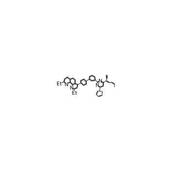 C#C/C(=C\C=C/C)c1cc(C2C=CC=CC2)nc(-c2cccc(-c3ccc(-c4cc(CC)nc5c4ccc4ccc(CC)nc45)cc3)c2)n1